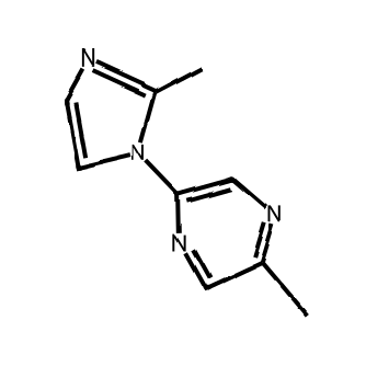 Cc1cnc(-n2ccnc2C)cn1